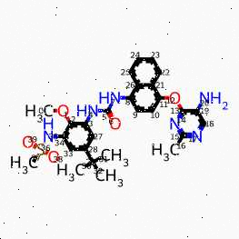 COc1c(NC(=O)Nc2ccc(Oc3nc(C)ncc3N)c3ccccc23)cc(C(C)(C)C)cc1NS(C)(=O)=O